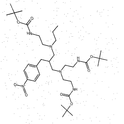 CCCN(CCNC(=O)OC(C)(C)C)CC(Cc1ccc([N+](=O)[O-])cc1)CN(CCNC(=O)OC(C)(C)C)CCNC(=O)OC(C)(C)C